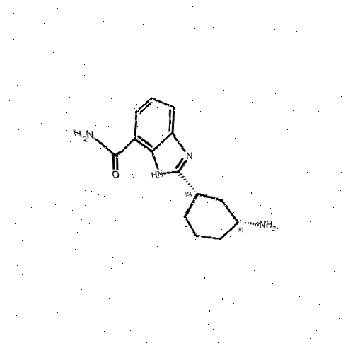 NC(=O)c1cccc2nc([C@H]3CCC[C@@H](N)C3)[nH]c12